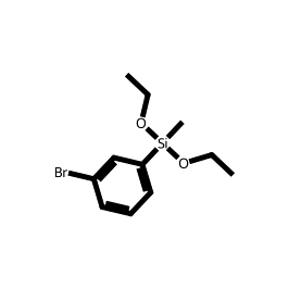 CCO[Si](C)(OCC)c1cccc(Br)c1